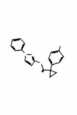 O=C(Nc1ccn(-c2ccccc2)n1)C1(c2ccc(Cl)cc2)CC1